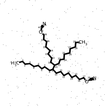 CCCCCCCCCC(CCCCCCCCOC#N)C(CCCCCCCCC)CCCCCCCCOC#N